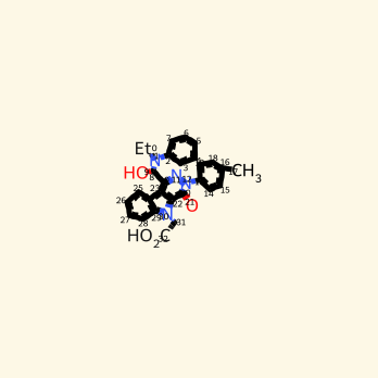 CCN(c1ccccc1)C(O)c1nn(-c2ccc(C)cc2)c(=O)c2c1c1ccccc1n2CC(=O)O